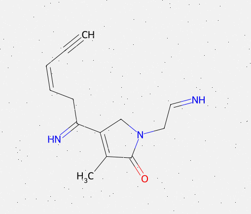 C#C/C=C\CC(=N)C1=C(C)C(=O)N(CC=N)C1